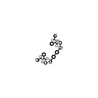 O=C(N[C@@H](C(=O)N1CCC[C@H]1c1ncc(-c2ccc(-c3ccc(-c4cnc([C@@H]5CCCN5C(=O)[C@H](NC(=O)c5ccsc5)c5ccccc5)s4)cc3)cc2)s1)c1ccccc1)c1ccsc1